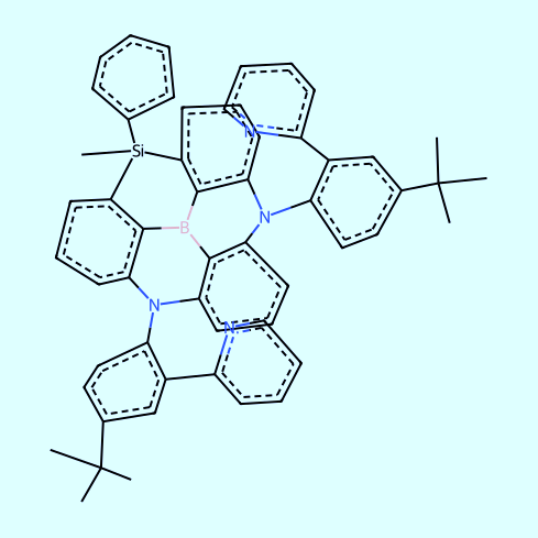 CC(C)(C)c1ccc(N2c3cccc4c3B3c5c2cccc5[Si](C)(c2ccccc2)c2cccc(c23)N4c2ccc(C(C)(C)C)cc2-c2ccccn2)c(-c2ccccn2)c1